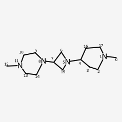 CN1CCC(N2CC(N3CCN(C)CC3)C2)CC1